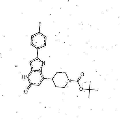 CC(C)(C)OC(=O)N1CCC(c2cc(=O)[nH]c3cc(-c4ccc(F)cc4)nn23)CC1